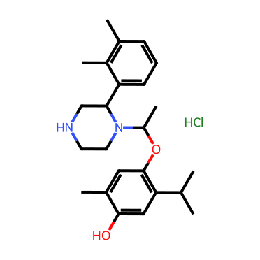 Cc1cc(OC(C)N2CCNCC2c2cccc(C)c2C)c(C(C)C)cc1O.Cl